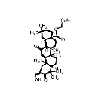 COCOC(C(C)C)[C@]12CCC(C)(C)C[C@H]1[C@H]1C(=O)C=C3[C@@]4(C)C/C(=C/O)C(=O)C(C)(C)[C@@H]4CC[C@@]3(C)[C@]1(C)CC2